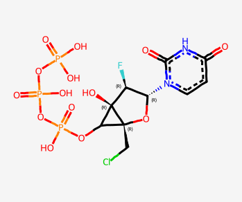 O=c1ccn([C@@H]2O[C@]3(CCl)C(OP(=O)(O)OP(=O)(O)OP(=O)(O)O)[C@]3(O)[C@H]2F)c(=O)[nH]1